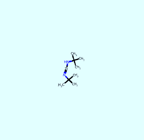 CC(C)(C)/[N]=[Zr]/[NH]C(C)(C)C